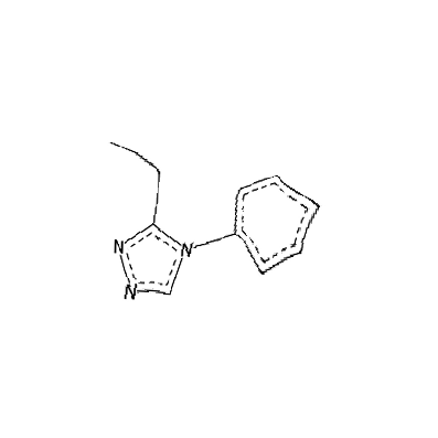 CCc1nncn1-c1ccccc1